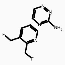 FCc1cccnc1CF.Nc1nccnn1